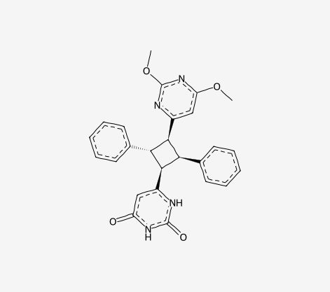 COc1cc([C@H]2[C@@H](c3ccccc3)[C@@H](c3cc(=O)[nH]c(=O)[nH]3)[C@@H]2c2ccccc2)nc(OC)n1